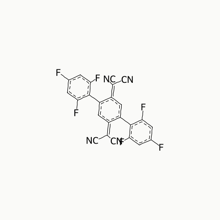 N#CC(C#N)=c1cc(-c2c(F)cc(F)cc2F)c(=C(C#N)C#N)cc1-c1c(F)cc(F)cc1F